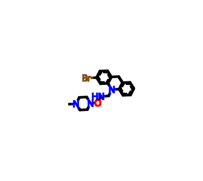 CN1CCN(ONCN2c3ccccc3Cc3ccc(Br)cc32)CC1